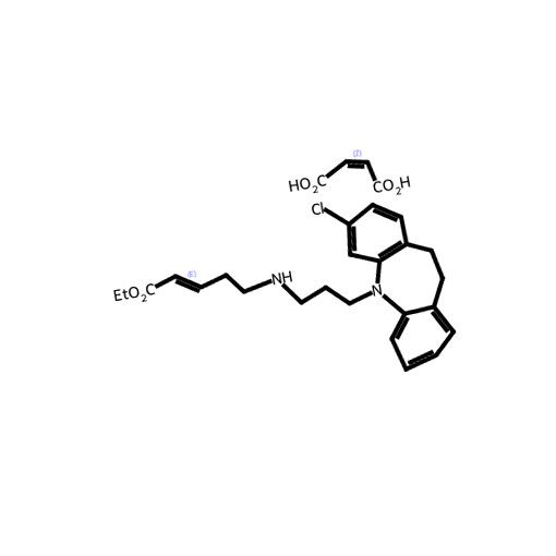 CCOC(=O)/C=C/CCNCCCN1c2ccccc2CCc2ccc(Cl)cc21.O=C(O)/C=C\C(=O)O